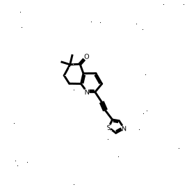 CC1(C)CCc2nc(C#Cc3cncs3)ccc2C1=O